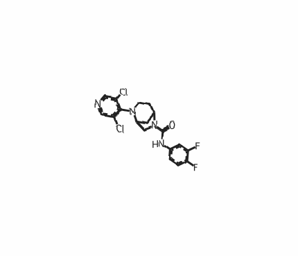 O=C(Nc1ccc(F)c(F)c1)N1CC2CC1CCN2c1c(Cl)cncc1Cl